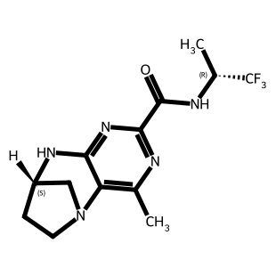 Cc1nc(C(=O)N[C@H](C)C(F)(F)F)nc2c1N1CC[C@@H](C1)N2